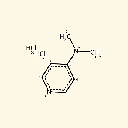 CN(C)c1ccncc1.Cl.Cl